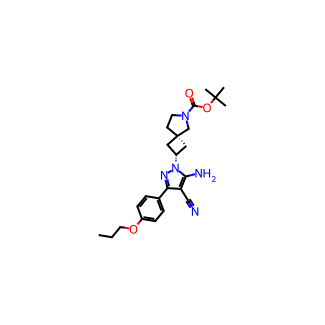 CCCOc1ccc(-c2nn([C@H]3C[C@@]4(CCN(C(=O)OC(C)(C)C)C4)C3)c(N)c2C#N)cc1